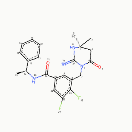 CC(C)[C@]1(C)CC(=O)N(Cc2cc(C(=O)N[C@@H](C)c3ccccc3)cc(F)c2F)C(=N)N1